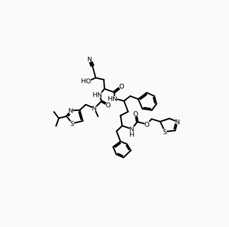 CC(C)c1nc(CN(C)C(=O)NC(CC(O)C#N)C(=O)NC(CCC(Cc2ccccc2)NC(=O)OCC2CN=CS2)Cc2ccccc2)cs1